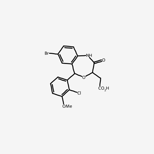 COc1cccc(C2OC(CC(=O)O)C(=O)Nc3ccc(Br)cc32)c1Cl